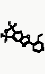 CCc1cnccc1-c1nc2cc3c(cc2o1)C(F)(F)OC3(F)F